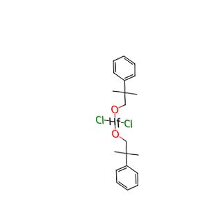 CC(C)(C[O][Hf]([Cl])([Cl])[O]CC(C)(C)c1ccccc1)c1ccccc1